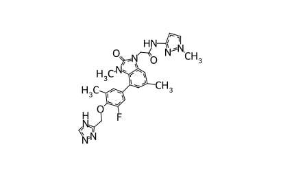 Cc1cc(-c2cc(C)c(OCc3nnc[nH]3)c(F)c2)c2c(c1)n(CC(=O)Nc1ccn(C)n1)c(=O)n2C